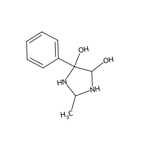 CC1NC(O)C(O)(c2ccccc2)N1